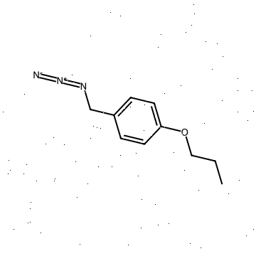 CCCOc1ccc(CN=[N+]=[N-])cc1